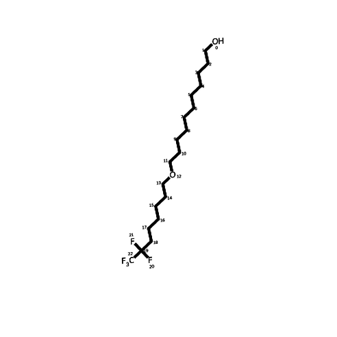 OCCCCCCCCCCCOCCCCCCC(F)(F)C(F)(F)F